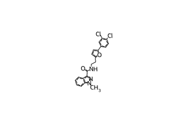 Cn1nc(C(=O)NCCc2ccc(-c3ccc(Cl)c(Cl)c3)o2)c2ccccc21